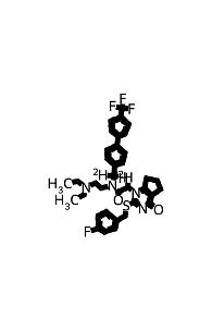 [2H]C(C(=O)N(CCN(CC)CC)C([2H])([2H])c1ccc(-c2ccc(C(F)(F)F)cc2)cc1)n1c(SCc2ccc(F)cc2)nc(=O)c2c1CCC2